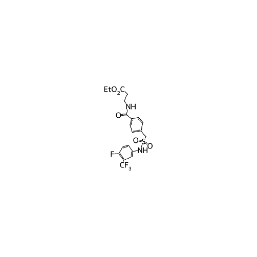 CCOC(=O)CCNC(=O)c1ccc(CS(=O)(=O)Nc2ccc(F)c(C(F)(F)F)c2)cc1